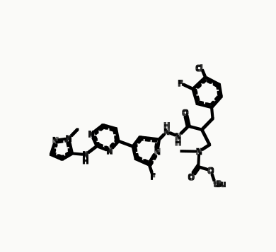 CN(CC(Cc1ccc(Cl)c(F)c1)C(=O)NNc1cc(-c2ccnc(Nc3ccnn3C)n2)cc(F)n1)C(=O)OC(C)(C)C